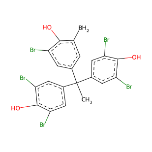 Bc1cc(C(C)(c2cc(Br)c(O)c(Br)c2)c2cc(Br)c(O)c(Br)c2)cc(Br)c1O